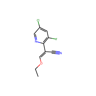 CCO/C=C(\C#N)c1ncc(Cl)cc1F